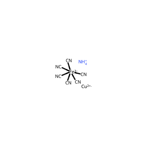 N#[C][Fe-3]([C]#N)([C]#N)([C]#N)([C]#N)[C]#N.[Cu+2].[NH4+]